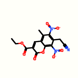 CCOC(=O)c1cc2c(C)c([N+](=O)[O-])c(CC#N)c([N+](=O)[O-])c2oc1=O